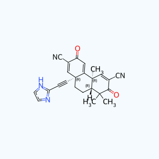 CC1(C)C(=O)C(C#N)=C[C@]2(C)C3=CC(=O)C(C#N)=C[C@]3(C#Cc3ncc[nH]3)CC[C@@H]12